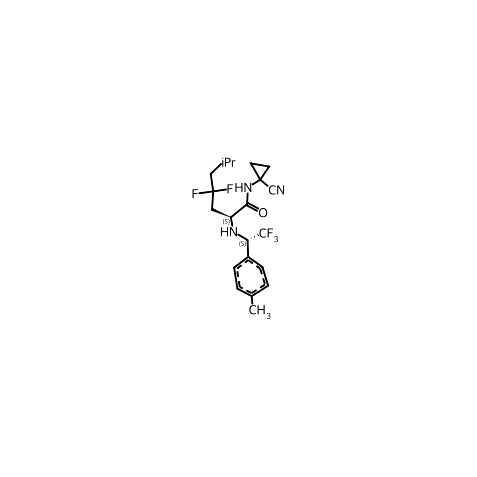 Cc1ccc([C@H](N[C@@H](CC(F)(F)CC(C)C)C(=O)NC2(C#N)CC2)C(F)(F)F)cc1